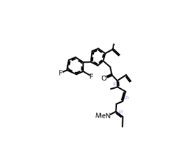 C=C/C(C(=O)Cc1cc(-c2ccc(F)cc2F)ccc1C(=C)C)=C(C)\C=C/C/C(=C/C)NC